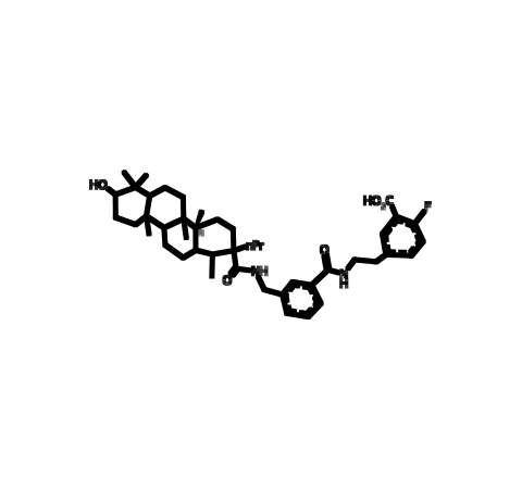 CCCC1(C(=O)NCc2cccc(C(=O)NCCc3ccc(F)c(C(=O)O)c3)c2)CC[C@]2(C)C(CCC3C4(C)CCC(O)C(C)(C)C4CCC32C)C1C